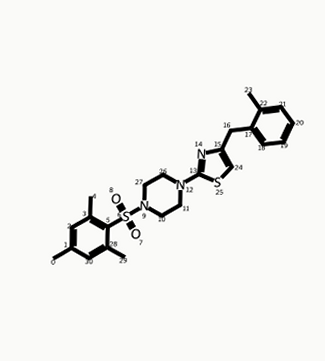 Cc1cc(C)c(S(=O)(=O)N2CCN(c3nc(Cc4ccccc4C)cs3)CC2)c(C)c1